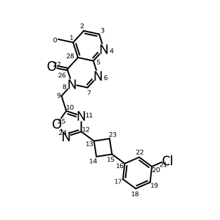 Cc1ccnc2ncn(Cc3nc(C4CC(c5cccc(Cl)c5)C4)no3)c(=O)c12